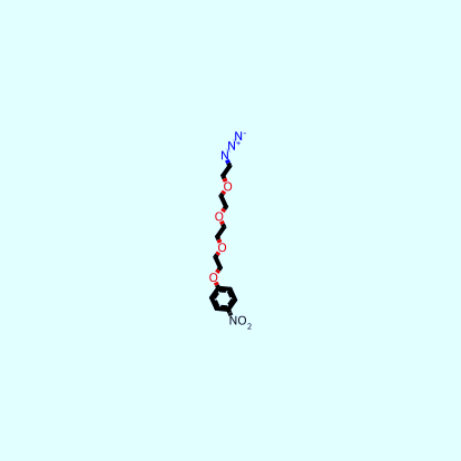 [N-]=[N+]=NCCOCCOCCOCCOc1ccc([N+](=O)[O-])cc1